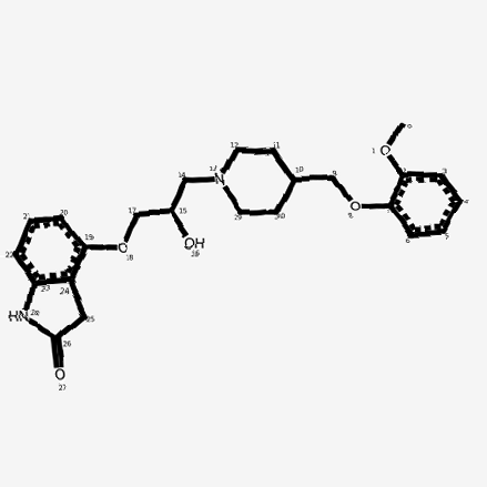 COc1ccccc1OCC1CCN(CC(O)COc2cccc3c2CC(=O)N3)CC1